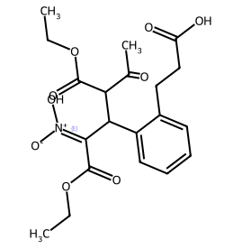 CCOC(=O)/C(C(c1ccccc1CCC(=O)O)C(C(C)=O)C(=O)OCC)=[N+](\[O-])O